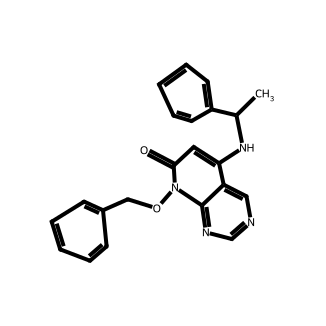 CC(Nc1cc(=O)n(OCc2ccccc2)c2ncncc12)c1ccccc1